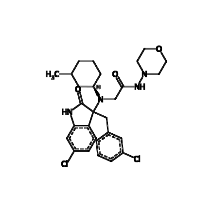 CC1CCC[C@@H](N(CC(=O)NN2CCOCC2)C2(Cc3cccc(Cl)c3)C(=O)Nc3cc(Cl)ccc32)C1